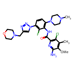 COc1c(N)nc(C(=O)Nc2c(N3CCN(C)CC3)ccc(-n3cc(CN4CCOCC4)nn3)c2F)c(Cl)c1C